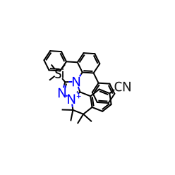 CC1(C)c2ccc(C#N)cc2-c2n(-c3c(-c4ccccc4)cccc3-c3ccccc3)c([Si](C)(C)C)n[n+]2C1(C)C